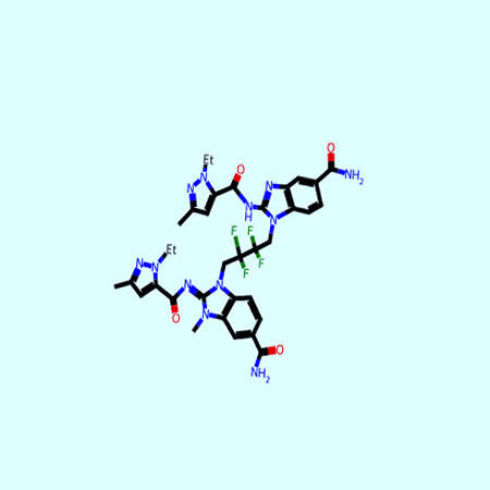 CCn1nc(C)cc1C(=O)/N=c1\n(C)c2cc(C(N)=O)ccc2n1CC(F)(F)C(F)(F)Cn1c(NC(=O)c2cc(C)nn2CC)nc2cc(C(N)=O)ccc21